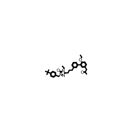 CCOc1ccc(CC(C)=O)cc1-c1cccc(CCCc2nn(Cc3ccc(C(C)(C)C)cc3)c(=O)n2CC)c1